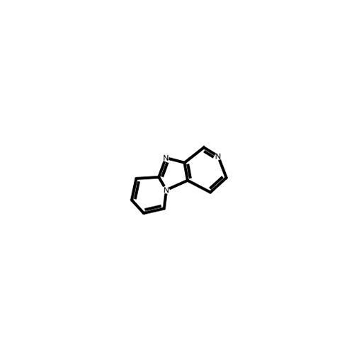 [c]1nccc2c1nc1ccccn12